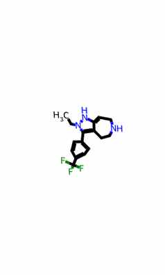 CCN1NC2=CCNCCC2=C1c1ccc(C(F)(F)F)cc1